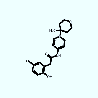 CC1(N2C=CC(NC(=O)Cc3cc(Cl)ccc3O)=CC2)CCOCC1